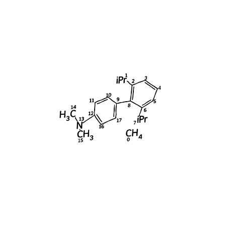 C.CC(C)c1cccc(C(C)C)c1-c1ccc(N(C)C)cc1